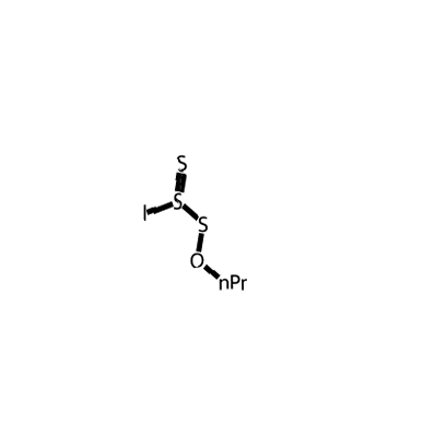 CCCOSS(=S)I